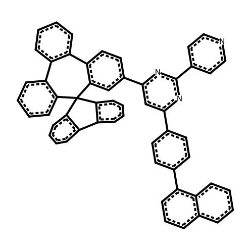 c1ccc2c(c1)-c1ccccc1C1(c3cc(-c4cc(-c5ccc(-c6cccc7ccccc67)cc5)nc(-c5ccncc5)n4)ccc3-2)c2ccccc2-c2ccccc21